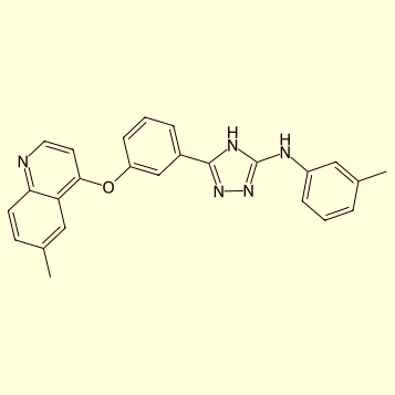 Cc1cccc(Nc2nnc(-c3cccc(Oc4ccnc5ccc(C)cc45)c3)[nH]2)c1